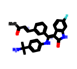 COC(=O)/C=C/c1cccc(/C(Nc2ccc(C(C)(C)N)cc2)=C2/C(=O)Nc3cc(F)ccc32)c1